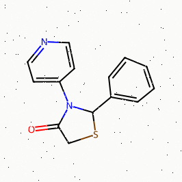 O=C1CSC(c2ccccc2)N1c1ccncc1